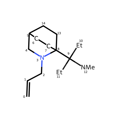 C=CCN1CC2CCC1(C(CC)(CC)NC)CC2